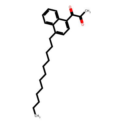 CCCCCCCCCCCCc1ccc(C(=O)C(C)=O)c2ccccc12